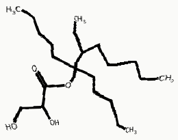 CCCCCC(CC)C(CCCCC)(CCCCC)OC(=O)C(O)CO